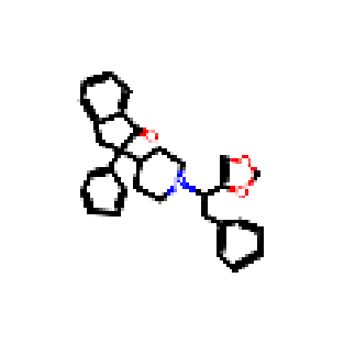 O=C1c2ccccc2CC1(c1ccccc1)C1CCN(C(Cc2ccccc2)C2=COCO2)CC1